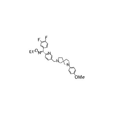 CCON=C(c1ccc(F)c(F)c1)c1ccc(CN2CCC3(CCN(c4ccc(OC)cc4)C3)C2)cn1